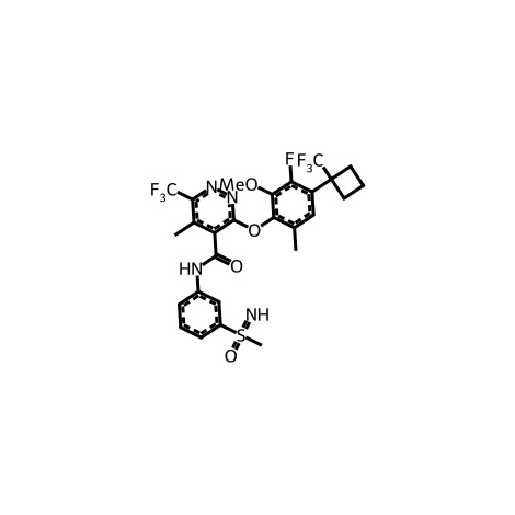 COc1c(F)c(C2(C(F)(F)F)CCC2)cc(C)c1Oc1nnc(C(F)(F)F)c(C)c1C(=O)Nc1cccc(S(C)(=N)=O)c1